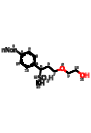 CCCCCCCCCc1ccc(C(CCOCCO)S(=O)(=O)O)cc1.[KH]